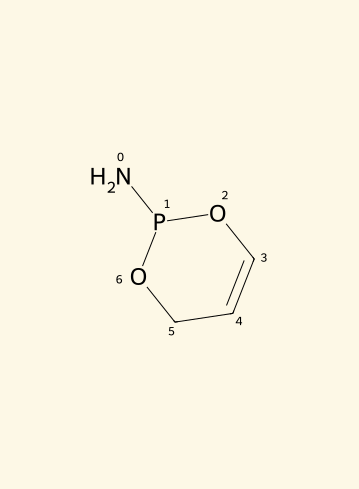 NP1OC=CCO1